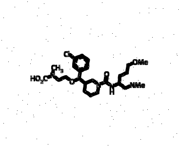 CNCC(CCCOC)NC(=O)N1CCCC(C(OCCN(C)C(=O)O)c2cccc(Cl)c2)C1